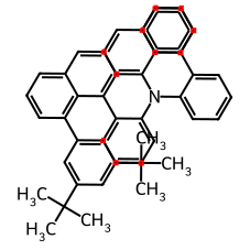 CC(C)(C)c1cc(-c2cccc3cccc(-c4ccccc4N(c4ccccc4-c4ccccc4)c4cccc5ccccc45)c23)cc(C(C)(C)C)c1